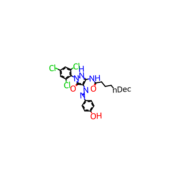 CCCCCCCCCCCCCC(=O)Nc1[nH]n(-c2c(Cl)cc(Cl)cc2Cl)c(=O)c1N=Nc1ccc(O)cc1